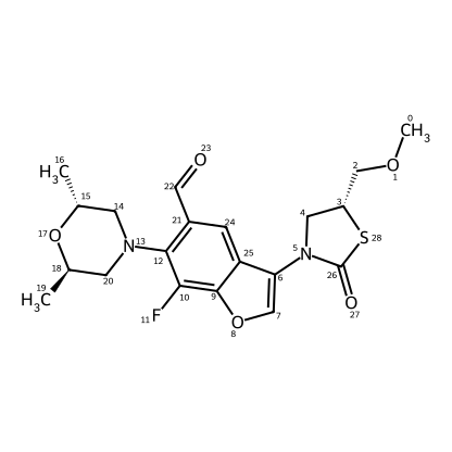 COC[C@H]1CN(c2coc3c(F)c(N4C[C@@H](C)O[C@H](C)C4)c(C=O)cc23)C(=O)S1